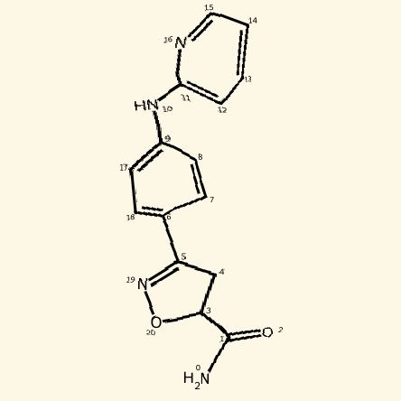 NC(=O)C1CC(c2ccc(Nc3ccccn3)cc2)=NO1